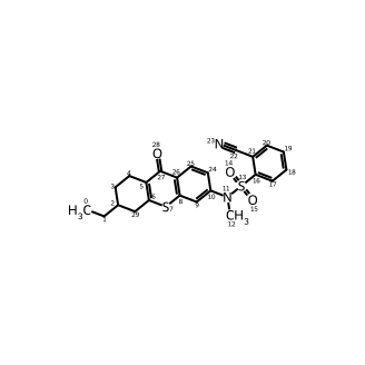 CCC1CCc2c(sc3cc(N(C)S(=O)(=O)c4ccccc4C#N)ccc3c2=O)C1